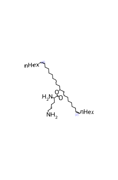 CCCCCC/C=C\CCCCCCCCC(CCCCCCC/C=C\CCCCCC)OC(=O)C(N)CCCCN